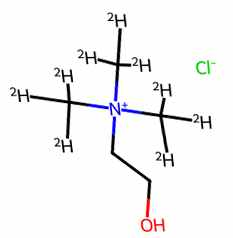 [2H]C([2H])([2H])[N+](CCO)(C([2H])([2H])[2H])C([2H])([2H])[2H].[Cl-]